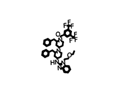 CCOCCn1c(NC2CCN(C3CCN(C(=O)c4cc(C(F)(F)F)cc(C(F)(F)F)c4)C(Cc4ccccc4)C3)C(Cc3ccccc3)C2)nc2ccccc21